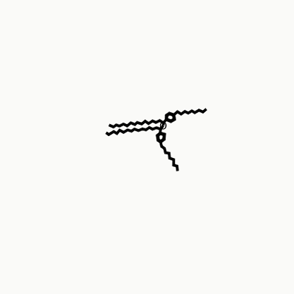 CCCCCCCCCCCCCCCC(OC(CCCCCCCCCCCCCCC)c1ccc(CCCCCCCCC)cc1)c1ccc(CCCCCCCCC)cc1